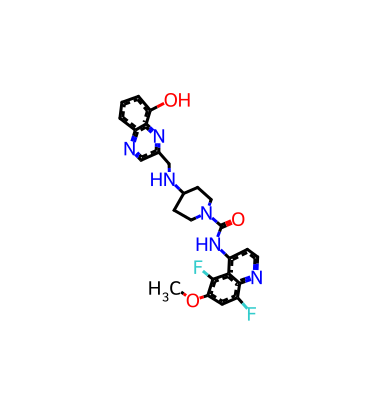 COc1cc(F)c2nccc(NC(=O)N3CCC(NCc4cnc5cccc(O)c5n4)CC3)c2c1F